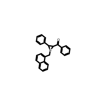 O=C(c1ccccc1)C1C(c2ccccc2)N1Cc1cccc2ccccc12